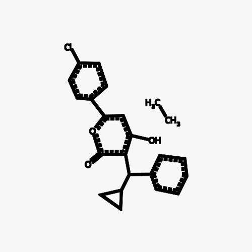 CC.O=c1oc(-c2ccc(Cl)cc2)cc(O)c1C(c1ccccc1)C1CC1